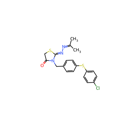 CC(C)=NN=C1SCC(=O)N1Cc1ccc(Sc2ccc(Cl)cc2)cc1